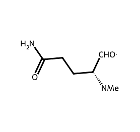 CN[C@@H]([C]=O)CCC(N)=O